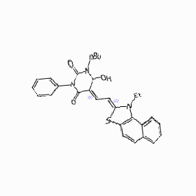 CCCCN1C(=O)N(c2ccccc2)C(=O)/C(=C/C=C2\Sc3ccc4ccccc4c3N2CC)C1O